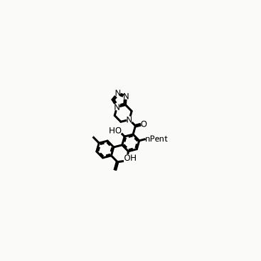 C=C(C)c1ccc(C)cc1-c1c(O)cc(CCCCC)c(C(=O)N2CCn3cnnc3C2)c1O